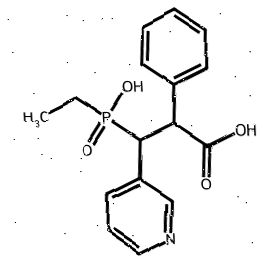 CCP(=O)(O)C(c1cccnc1)C(C(=O)O)c1ccccc1